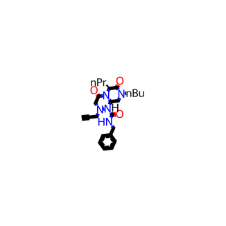 C#CCN1CC(=O)N2[C@@H](CCC)C(=O)N(CCCC)C[C@@H]2N1C(=O)NCc1ccccc1